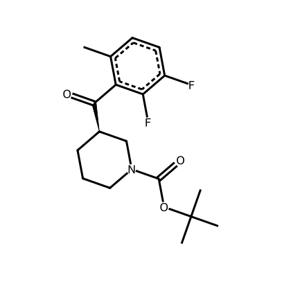 Cc1ccc(F)c(F)c1C(=O)[C@@H]1CCCN(C(=O)OC(C)(C)C)C1